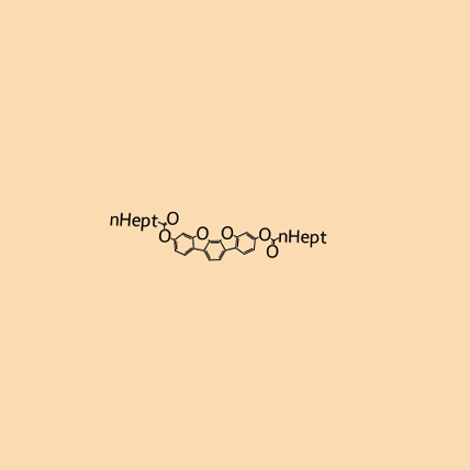 CCCCCCCC(=O)Oc1ccc2c(c1)oc1c2ccc2c3ccc(OC(=O)CCCCCCC)cc3oc21